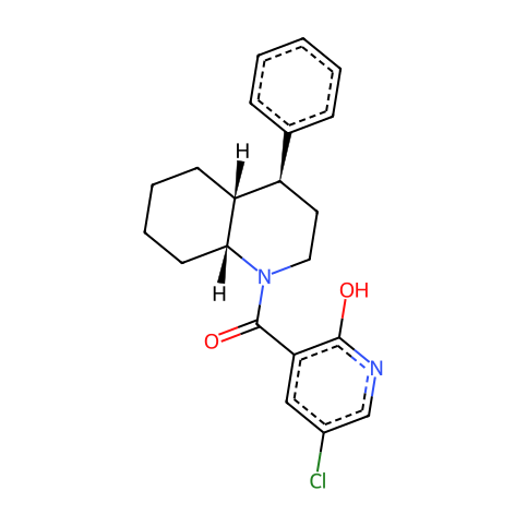 O=C(c1cc(Cl)cnc1O)N1CC[C@H](c2ccccc2)[C@H]2CCCC[C@H]21